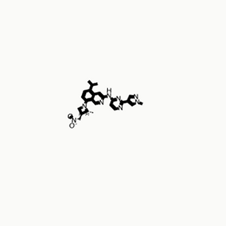 CC(C)c1ccc(N2C[C@H](C[N+](=O)[O-])[C@H]2C)c2cnc(Nc3ccnc(-c4cnn(C)c4)n3)cc12